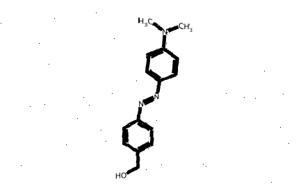 CN(C)c1ccc(N=Nc2ccc(CO)cc2)cc1